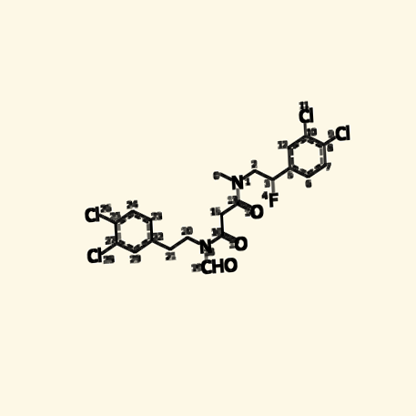 CN(CC(F)c1ccc(Cl)c(Cl)c1)C(=O)CC(=O)N(C=O)CCc1ccc(Cl)c(Cl)c1